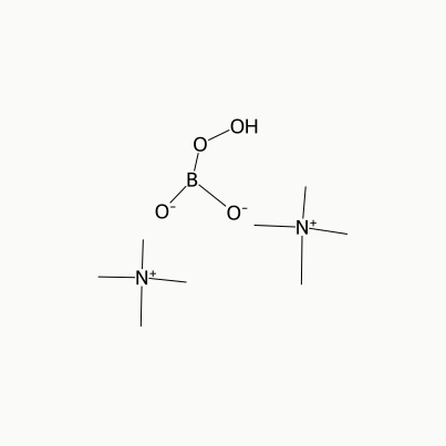 C[N+](C)(C)C.C[N+](C)(C)C.[O-]B([O-])OO